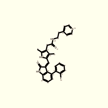 Cc1[nH]c(/C=C2\C(=O)Nc3cccc(-c4ccccc4F)c32)c(C)c1CC(=O)NCCc1ccncc1